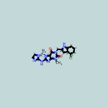 Cn1c(Nc2ncc[nH]2)nc2c1c(=O)n(Cc1cc3c(Cl)cccc3[nH]1)c(=O)n2C